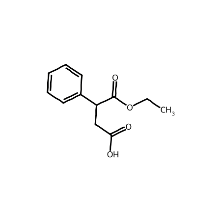 CCOC(=O)C(CC(=O)O)c1ccccc1